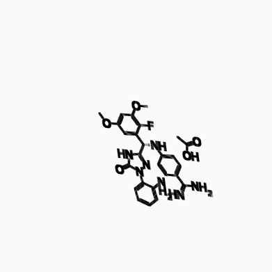 CC(=O)O.COc1cc(OC)c(F)c([C@H](Nc2ccc(C(=N)N)cc2)c2nn(-c3ccccc3N)c(=O)[nH]2)c1